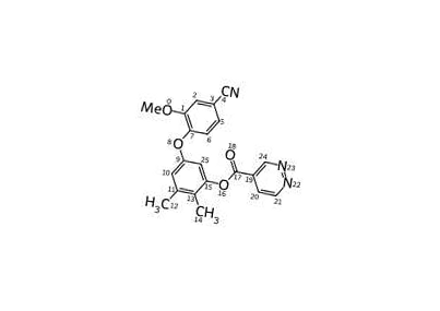 COc1cc(C#N)ccc1Oc1cc(C)c(C)c(OC(=O)c2ccnnc2)c1